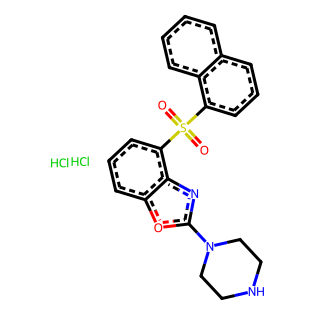 Cl.Cl.O=S(=O)(c1cccc2ccccc12)c1cccc2oc(N3CCNCC3)nc12